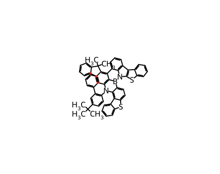 CC(C)(C)c1ccc(N2c3cc4c(c5c3B(c3ccc6sc7ccccc7c6c32)n2c3sc6ccccc6c3c3cccc-5c32)C(C)(C)c2ccccc2-4)c(-c2ccccc2)c1